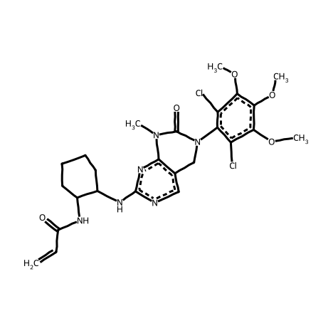 C=CC(=O)NC1CCCCC1Nc1ncc2c(n1)N(C)C(=O)N(c1c(Cl)c(OC)c(OC)c(OC)c1Cl)C2